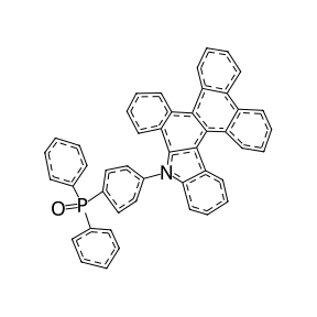 O=P(c1ccccc1)(c1ccccc1)c1ccc(-n2c3ccccc3c3c4c5ccccc5c5ccccc5c4c4ccccc4c32)cc1